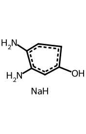 Nc1ccc(O)cc1N.[NaH]